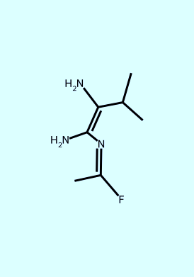 C/C(F)=N\C(N)=C(\N)C(C)C